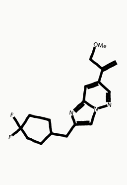 C=C(COC)c1cnn2cc(CC3CCC(F)(F)CC3)nc2c1